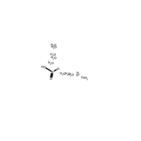 O.O.O.O.O.O.O.O.O.O=[N+]([O-])O.[GaH3]